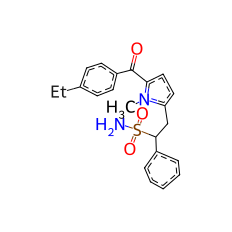 CCc1ccc(C(=O)c2ccc(CC(c3ccccc3)S(N)(=O)=O)n2C)cc1